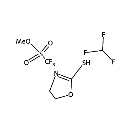 COS(=O)(=O)C(F)(F)F.FC(F)F.SC1=NCCO1